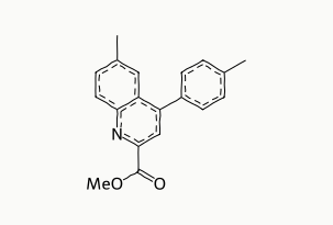 COC(=O)c1cc(-c2ccc(C)cc2)c2cc(C)ccc2n1